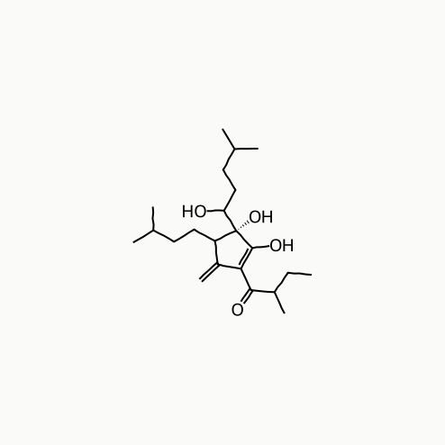 C=C1C(C(=O)C(C)CC)=C(O)[C@](O)(C(O)CCC(C)C)C1CCC(C)C